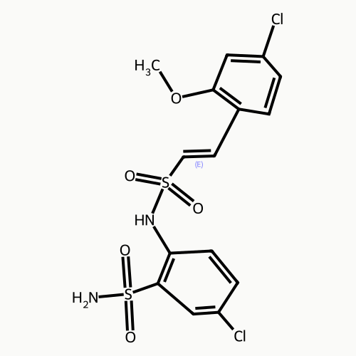 COc1cc(Cl)ccc1/C=C/S(=O)(=O)Nc1ccc(Cl)cc1S(N)(=O)=O